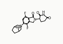 O=C1CCC(N2Cc3c(F)c(N4CC5CCC(C4)N5)cc(F)c3C2=O)C(=O)N1